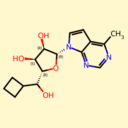 Cc1ncnc2c1ccn2[C@@H]1O[C@H](C(O)C2CCC2)[C@@H](O)[C@H]1O